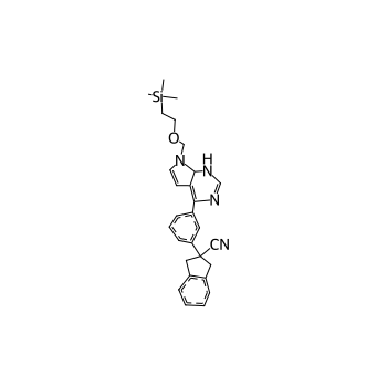 C[Si](C)(C)CCOCN1C=CC2=C(c3cccc(C4(C#N)Cc5ccccc5C4)c3)N=CNC21